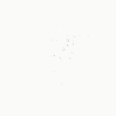 CCC[C@]12C[C@]3(SCCC(=O)c4ccccc4)C(=O)N(C)[C@@](C)(SCCC(=O)c4ccccc4)C(=O)N3[C@H]1N(S(=O)(=O)c1ccccc1)c1ccccc12